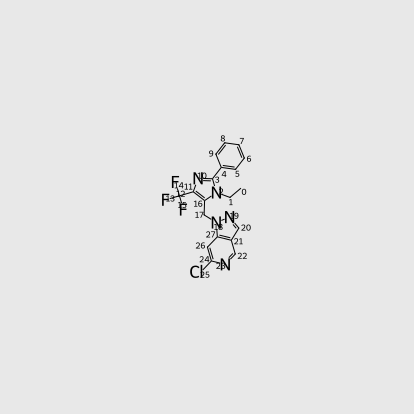 CCn1c(-c2ccccc2)nc(C(F)(F)F)c1Cn1ncc2cnc(Cl)cc21